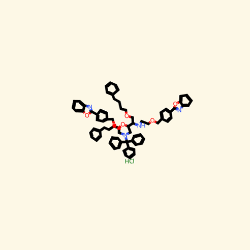 Cl.c1ccc(CCCCOCC(NCCOCc2ccc(-c3nc4ccccc4o3)cc2)C(CN(CCOCc2ccc(-c3nc4ccccc4o3)cc2)C(c2ccccc2)(c2ccccc2)c2ccccc2)OCCCCc2ccccc2)cc1